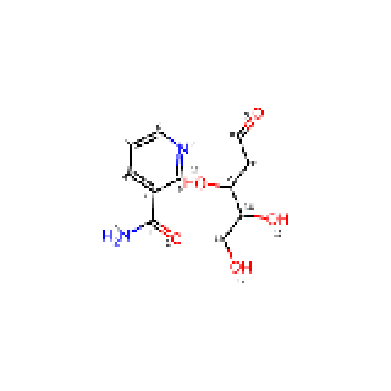 NC(=O)c1cccnc1.O=CCC(O)C(O)CO